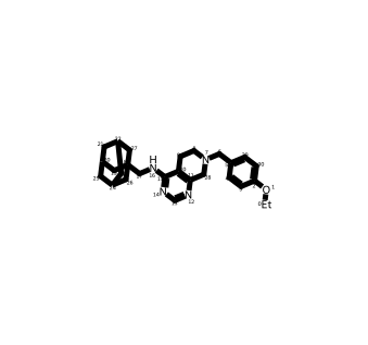 CCOc1ccc(CN2CCc3c(ncnc3NCC34CC5CC(CC(C5)C3)C4)C2)cc1